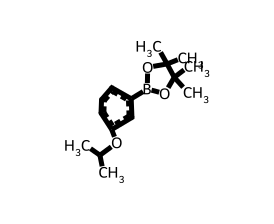 CC(C)Oc1cccc(B2OC(C)(C)C(C)(C)O2)c1